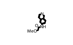 COCC(=O)Nc1ccc2cnccc2c1